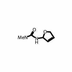 CNC(=O)NC1C=CCO1